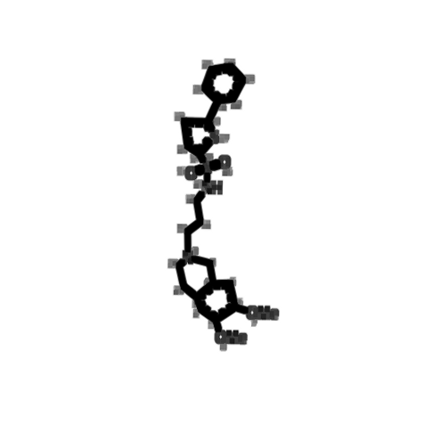 COc1cc2c(cc1OC)CN(CCCNS(=O)(=O)c1ccc(-c3ccccc3)s1)CC2